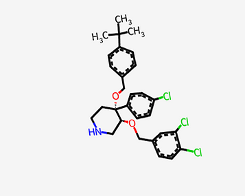 CC(C)(C)c1ccc(CO[C@@]2(c3ccc(Cl)cc3)CCNC[C@@H]2OCc2ccc(Cl)c(Cl)c2)cc1